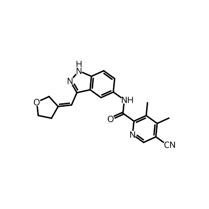 Cc1c(C#N)cnc(C(=O)Nc2ccc3[nH]nc(/C=C4/CCOC4)c3c2)c1C